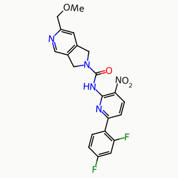 COCc1cc2c(cn1)CN(C(=O)Nc1nc(-c3ccc(F)cc3F)ccc1[N+](=O)[O-])C2